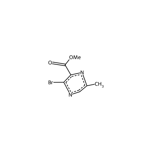 COC(=O)c1nc(C)cnc1Br